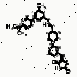 Cc1cc(CNCC2CCN(c3nccc(/C=C4/SC(=O)NC4=O)n3)CC2)nc(-c2cnc(N(C)C)nc2)c1